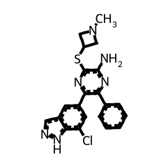 CN1CC(Sc2nc(-c3cc(Cl)c4[nH]ncc4c3)c(-c3ccccc3)nc2N)C1